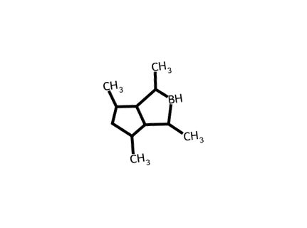 CC1BC(C)C2C(C)CC(C)C12